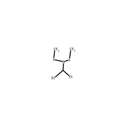 CCC(CC)N(SC(F)(F)F)SC(F)(F)F